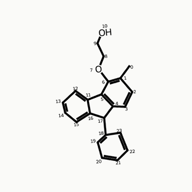 Cc1ccc2c(c1OCCO)-c1ccccc1C2c1ccccc1